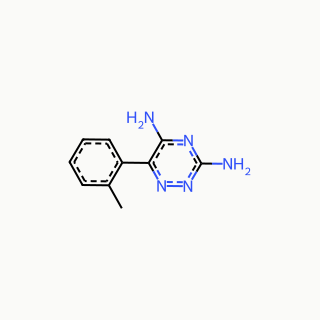 Cc1ccccc1-c1nnc(N)nc1N